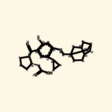 O=C(O)C[C@@H]1CCCN1C(=O)c1cc(C2CC2)c(OCC23CCC4CC(CC4C2)C3)cc1F